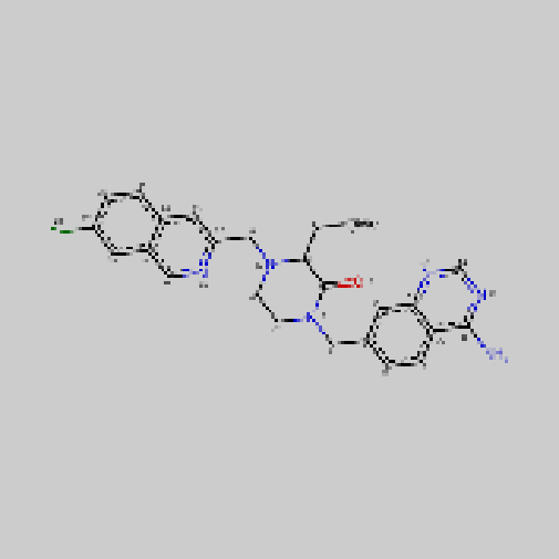 COCC1C(=O)N(Cc2ccc3c(N)ncnc3c2)CCN1Cc1cc2ccc(Cl)cc2cn1